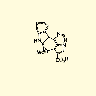 COc1c(C(=O)O)cn2ncnc(C3C(=O)Nc4ccccc43)c12